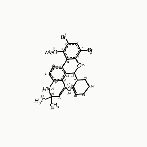 COc1c(Br)cc(Br)c2c1-c1ccc3c(c1C(C1C=CCCC1)O2)C(C)=CC(C)(C)N3